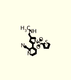 CNCc1cc(-c2cccnc2C#N)n(S(=O)(=O)c2cccs2)c1